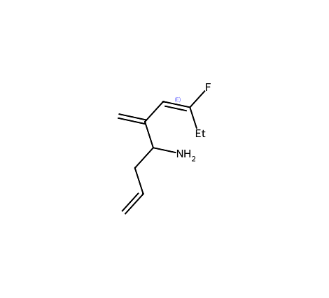 C=CCC(N)C(=C)/C=C(/F)CC